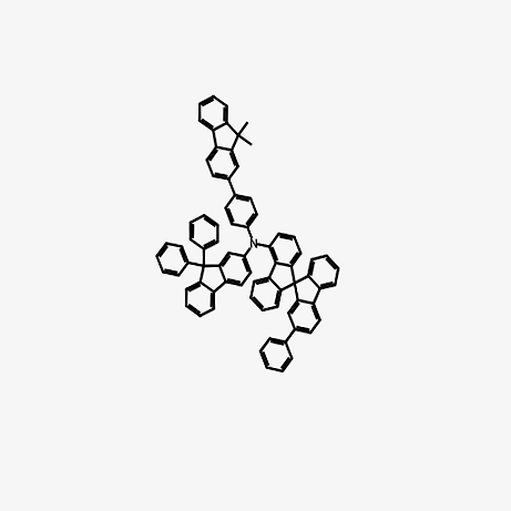 CC1(C)c2ccccc2-c2ccc(-c3ccc(N(c4ccc5c(c4)C(c4ccccc4)(c4ccccc4)c4ccccc4-5)c4cccc5c4-c4ccccc4C54c5ccccc5-c5ccc(-c6ccccc6)cc54)cc3)cc21